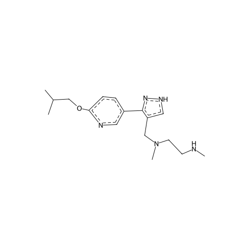 CNCCN(C)Cc1c[nH]nc1-c1ccc(OCC(C)C)nc1